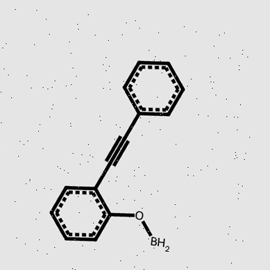 BOc1ccccc1C#Cc1ccccc1